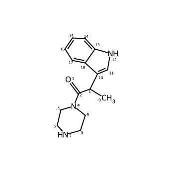 CC(C(=O)N1CCNCC1)c1c[nH]c2ccccc12